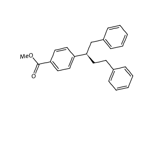 COC(=O)c1ccc([C@H](CCc2ccccc2)Cc2ccccc2)cc1